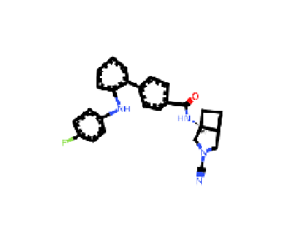 N#CN1CC2CC[C@]2(NC(=O)c2ccc(-c3ccccc3Nc3ccc(F)cc3)cc2)C1